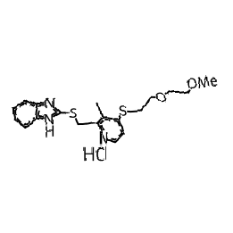 COCCOCCSc1ccnc(CSc2nc3ccccc3[nH]2)c1C.Cl